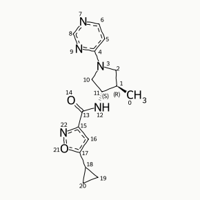 C[C@@H]1CN(c2ccncn2)C[C@H]1NC(=O)c1cc(C2CC2)on1